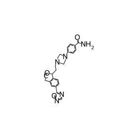 NC(=O)c1ccc(N2CCN(CCC3OCCc4cc(-c5ncno5)ccc43)CC2)cc1